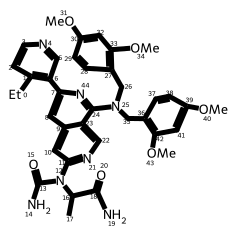 CCc1ccncc1-c1cc2cc(N(C(N)=O)C(C)C(N)=O)ncc2c(N(Cc2ccc(OC)cc2OC)Cc2ccc(OC)cc2OC)n1